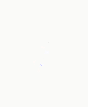 O=C(CC12CC3CC(CC(C3)C1)C2)Nc1ccc2c(c1)NC(=O)CO2